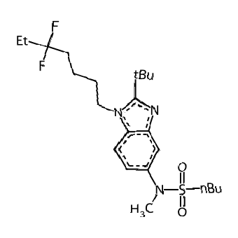 CCCCS(=O)(=O)N(C)c1ccc2c(c1)nc(C(C)(C)C)n2CCCCC(F)(F)CC